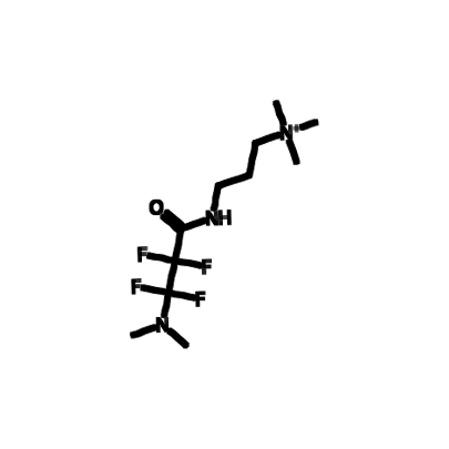 CN(C)C(F)(F)C(F)(F)C(=O)NCCC[N+](C)(C)C